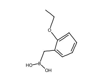 CCOc1ccccc1CB(O)O